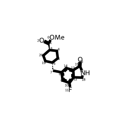 COC(=O)[C@H]1CC[C@H](Cc2cc(F)c3c(c2)C(=O)NC3)CC1